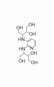 OCC(O)C(CO)Nc1cccnc1NC(CO)C(O)CO